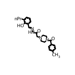 CCCc1cccc(/C=N/NC(=O)CN2CCN(C(=O)c3ccc(C)cc3)CC2)c1O